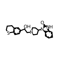 O=c1[nH]c2ccccc2n1C1CCN(CC(O)c2ccc3c(c2)CCCS3)CC1